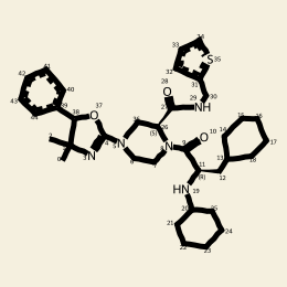 CC1(C)N=C(N2CCN(C(=O)[C@@H](CC3CCCCC3)NC3CCCCC3)[C@H](C(=O)NCc3cccs3)C2)OC1c1ccccc1